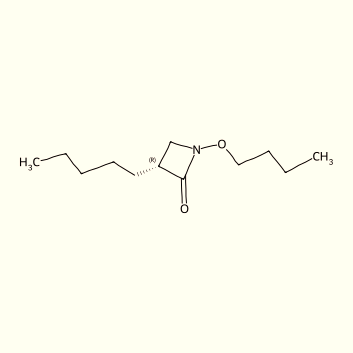 CCCCC[C@@H]1CN(OCCCC)C1=O